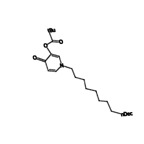 CCCCCCCCCCCCCCCCCCn1ccc(=O)c(OC(=O)C(C)(C)C)c1